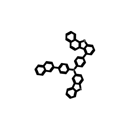 c1ccc2cc(-c3ccc(N(c4ccc(-c5cccc6oc7c8ccccc8ccc7c56)cc4)c4ccc5sc6ccccc6c5c4)cc3)ccc2c1